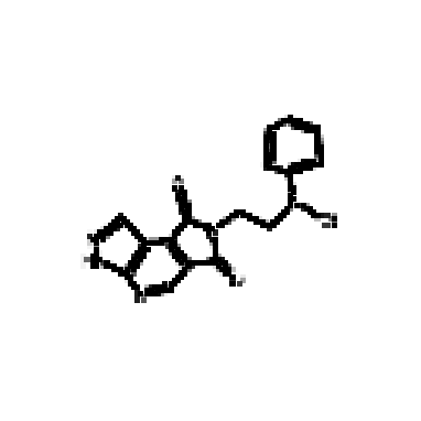 CCN(CCN1C(=O)c2cnc3[nH]ncc3c2C1=O)c1ccccc1